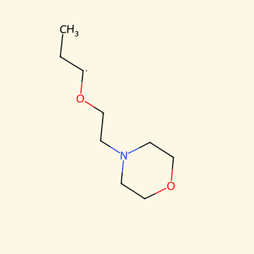 CC[CH]OCCN1CCOCC1